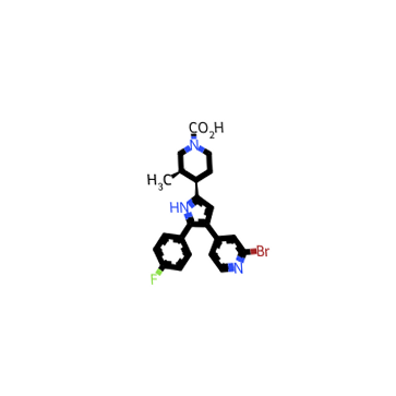 C[C@H]1CN(C(=O)O)CC[C@H]1c1cc(-c2ccnc(Br)c2)c(-c2ccc(F)cc2)[nH]1